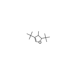 CC1C(C(C)(C)C)=COC1C(C)(C)C